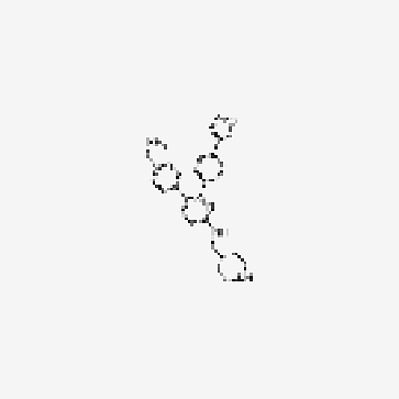 NCc1ccc(-c2ccc(NCC3CCNCC3)nc2-c2ccc(-c3ccoc3)cc2)cc1